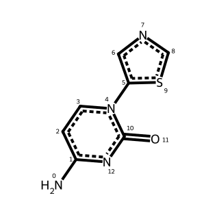 Nc1ccn(-c2cncs2)c(=O)n1